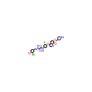 COc1ccc(CCNC(=O)C(=O)Nc2ccc(Oc3ccnc4c(OC)c(OCC5CCNCC5)ccc34)c(F)c2)cc1Br